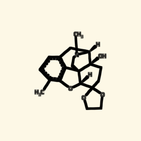 Cc1ccc2c3c1O[C@H]1C4(CC[C@@]5(O)[C@@H](C2)N(C)CC[C@]315)OCCO4